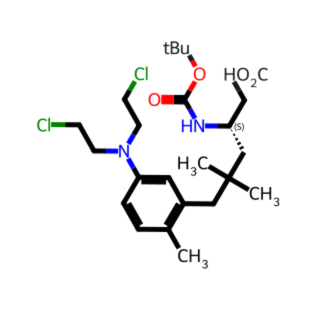 Cc1ccc(N(CCCl)CCCl)cc1CC(C)(C)C[C@@H](CC(=O)O)NC(=O)OC(C)(C)C